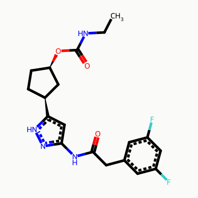 CCNC(=O)O[C@@H]1CC[C@H](c2cc(NC(=O)Cc3cc(F)cc(F)c3)n[nH]2)C1